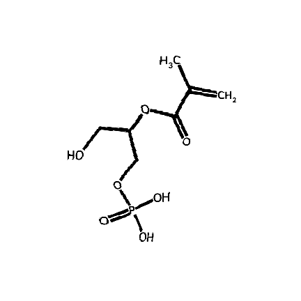 C=C(C)C(=O)OC(CO)COP(=O)(O)O